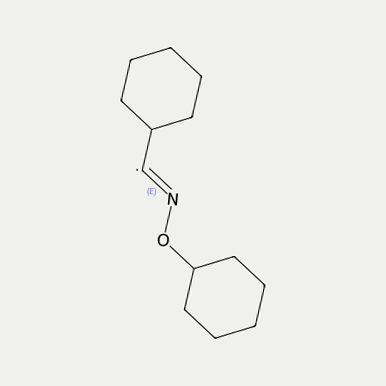 [C](=N\OC1CCCCC1)/C1CCCCC1